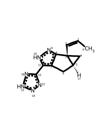 C/C=C\[C@@]12C[C@H]1Cc1c2n[nH]c1-c1nn[nH]n1